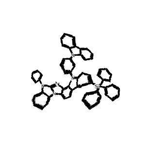 c1ccc(-n2c3ccccc3n3c4ccc5c6cc([Si](c7ccccc7)(c7ccccc7)c7ccccc7)ccc6n(-c6cccc(-n7c8ccccc8c8ccccc87)c6)c5c4nc23)cc1